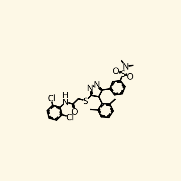 Cc1cccc(C)c1C1C(SCC(=O)Nc2c(Cl)cccc2Cl)=NN=C1c1cccc(S(=O)(=O)N(C)C)c1